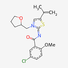 C=C(C)c1cn(CC2CCCO2)c(=NC(=O)c2cc(Cl)ccc2OC)s1